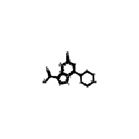 CCC(C)C(=O)c1cnn2c(C3CCNCC3)cc(=O)[nH]c12